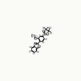 CCOc1cc(B2OC(C)(C)C(C)(C)O2)ccc1-c1nc2ccccc2o1